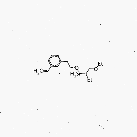 C=Cc1cccc(CCO[SiH2]C(CC)COCC)c1